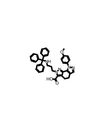 COc1ccc(-n2ncc3c2-c2nn(CCCNC(c4ccccc4)(c4ccccc4)c4ccccc4)c(C(=O)O)c2CC3)cc1